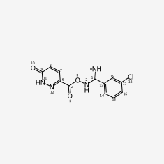 N=C(NOC(=O)c1ccc(=O)[nH]n1)c1cccc(Cl)c1